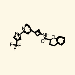 O=C(NC12CC(c3ccnc(-n4cc(C(F)(F)F)cn4)c3)(C1)C2)C1CCc2ccccc2O1